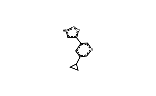 c1ncc(C2CC2)cc1-c1c[nH]nn1